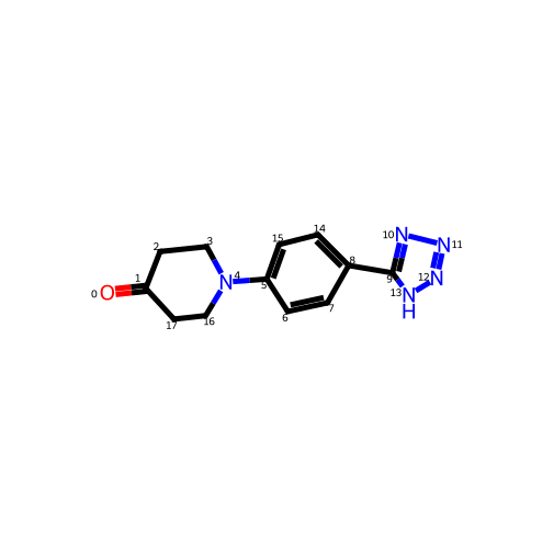 O=C1CCN(c2ccc(-c3nnn[nH]3)cc2)CC1